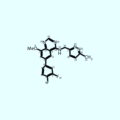 COc1cc(-c2ccc(F)c(F)c2)cc2c(NCc3ccc(C)nn3)ncnc12